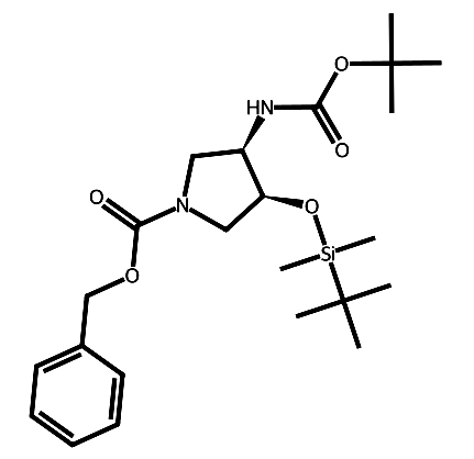 CC(C)(C)OC(=O)N[C@@H]1CN(C(=O)OCc2ccccc2)C[C@@H]1O[Si](C)(C)C(C)(C)C